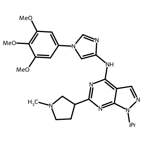 COc1cc(-n2cnc(Nc3nc(C4CCN(C)C4)nc4c3cnn4C(C)C)c2)cc(OC)c1OC